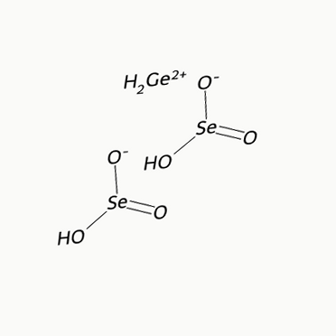 O=[Se]([O-])O.O=[Se]([O-])O.[GeH2+2]